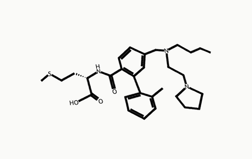 CCCCN(CCN1CCCC1)Cc1ccc(C(=O)N[C@@H](CCSC)C(=O)O)c(-c2ccccc2C)c1